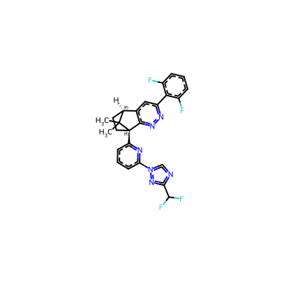 CC1(C)[C@H]2CC[C@@]1(c1cccc(-n3cnc(C(F)F)n3)n1)c1nnc(-c3c(F)cccc3F)cc12